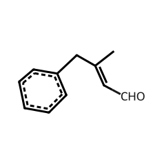 CC(=CC=O)Cc1ccccc1